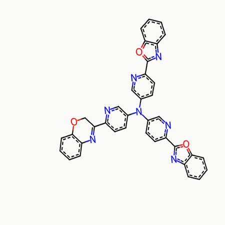 c1ccc2c(c1)N=C(c1ccc(N(c3ccc(-c4nc5ccccc5o4)nc3)c3ccc(-c4nc5ccccc5o4)nc3)cn1)CO2